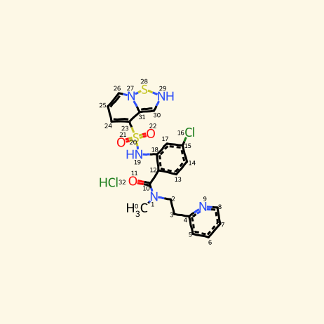 CN(CCc1ccccn1)C(=O)c1ccc(Cl)cc1NS(=O)(=O)C1=CC=CN2SNC=C12.Cl